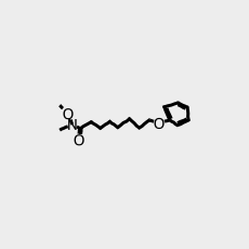 CON(C)C(=O)CCCCCCCOc1ccccc1